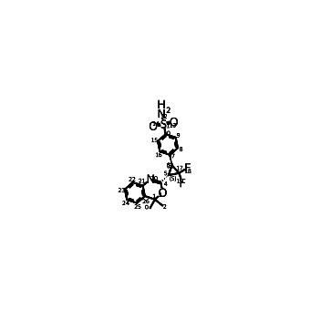 CC1(C)OC([C@@H]2[C@@H](c3ccc(S(N)(=O)=O)cc3)C2(F)F)=Nc2ccccc21